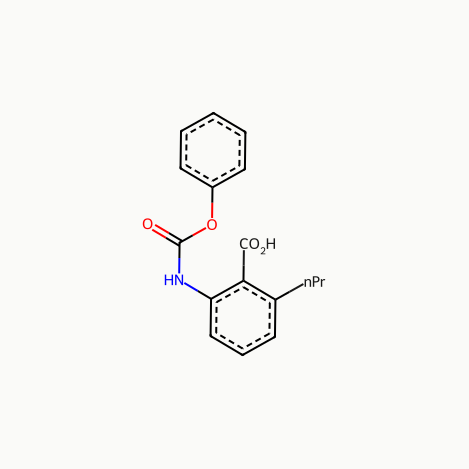 CCCc1cccc(NC(=O)Oc2ccccc2)c1C(=O)O